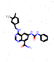 Cc1ccc(CNc2ncnc3c(C(N)=O)cc(NC(=O)Nc4ccccc4)cc23)cc1C(F)(F)F